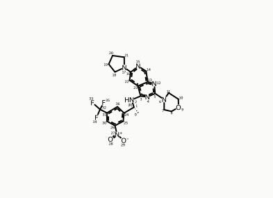 C[C@@H](Nc1nc(N2CCOCC2)nc2cnc(N3CCCC3)cc12)c1cc([N+](=O)[O-])cc(C(F)(F)F)c1